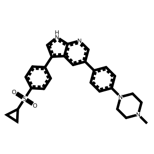 CN1CCN(c2ccc(-c3cnc4[nH]cc(-c5ccc(S(=O)(=O)C6CC6)cc5)c4c3)cc2)CC1